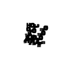 CC(O)OC(=O)c1cn(C)cn1.NCC1(C(=O)OCOC=O)CC1